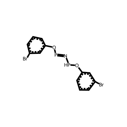 Brc1cccc(OP=NPOc2cccc(Br)c2)c1